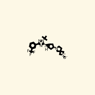 CC(C)(C)n1nc(-c2cccc(C(F)(F)F)c2)nc1[C@H]1C2C[C@@H](N3CCC4(C3)C[S+]([O-])C4)C[C@@H]21